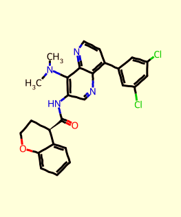 CN(C)c1c(NC(=O)[C@@H]2CCOc3ccccc32)cnc2c(-c3cc(Cl)cc(Cl)c3)ccnc12